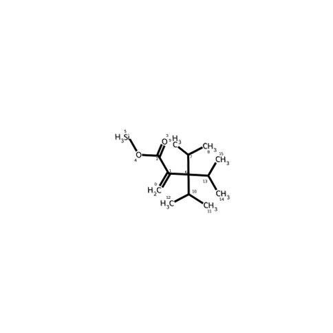 C=C(C(=O)O[SiH3])C(C(C)C)(C(C)C)C(C)C